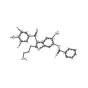 CCCCc1oc2cc(OC(=O)c3ccccc3)c(O)cc2c1C(=O)c1cc(I)c(O)c(I)c1